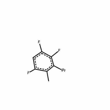 Cc1c(F)cc(F)c(F)c1C(C)C